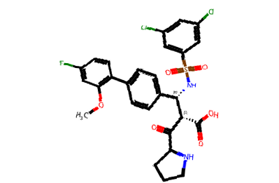 COc1cc(F)ccc1-c1ccc([C@H](NS(=O)(=O)c2cc(Cl)cc(Cl)c2)[C@H](C(=O)O)C(=O)C2CCCN2)cc1